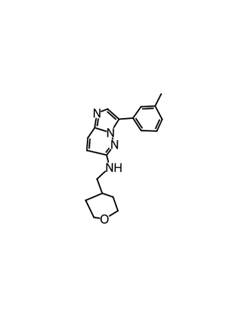 Cc1cccc(-c2cnc3ccc(NCC4CCOCC4)nn23)c1